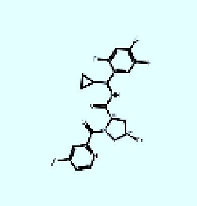 CC[C@@H]1C[C@H](C(=O)NC(c2cc(F)c(Cl)cc2F)C2CC2)N(C(=O)c2cc(C)ccn2)C1